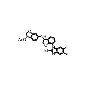 CCc1nc2cc(F)c(F)cc2n1-c1cccc2c1OC[C@H]2Nc1ccc2c(c1)OC[C@H]2OC(C)=O